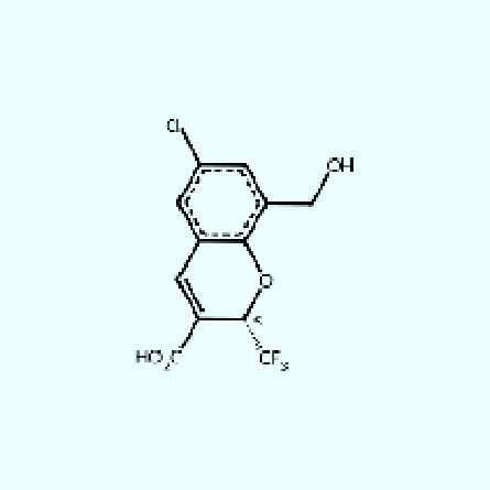 O=C(O)C1=Cc2cc(Cl)cc(CO)c2O[C@@H]1C(F)(F)F